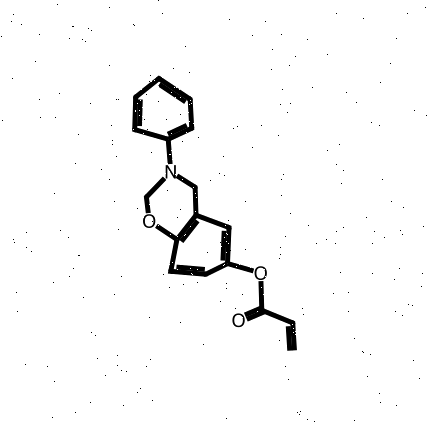 C=CC(=O)Oc1ccc2c(c1)CN(c1ccccc1)CO2